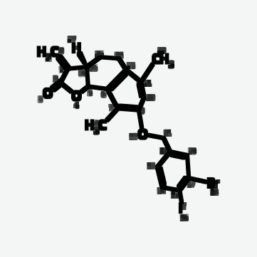 C=C1C(=O)OC2c3c(C)c(OCc4ccc(F)c(Br)c4)cc(C)c3CC[C@@H]12